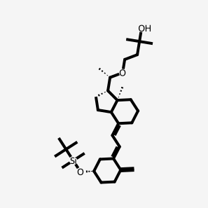 C=C1CC[C@H](O[Si](C)(C)C(C)(C)C)C/C1=C\C=C1/CCC[C@@]2(C)C1CC[C@@H]2[C@H](C)OCCC(C)(C)O